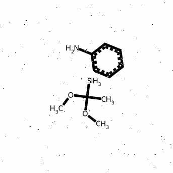 COC(C)([SiH3])OC.Nc1ccccc1